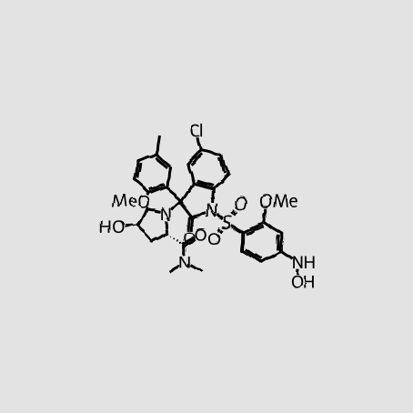 COc1ccc(C)cc1C1(N2C[C@H](O)C[C@H]2C(=O)N(C)C)C(=O)N(S(=O)(=O)c2ccc(NO)cc2OC)c2ccc(Cl)cc21